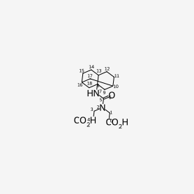 O=C(O)CN(CC(=O)O)C(=O)NC12CC3CCC1CCC(C3)C2